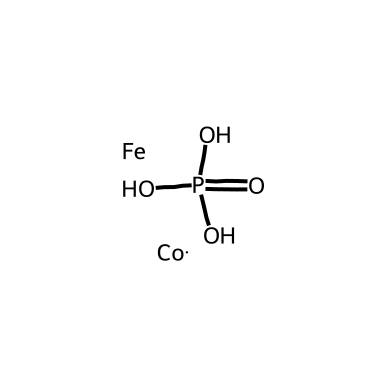 O=P(O)(O)O.[Co].[Fe]